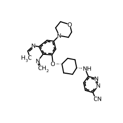 C=Nc1c(/N=C\C)cc(N2CCOCC2)cc1O[C@H]1CC[C@@H](Nc2ccc(C#N)nn2)CC1